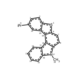 CC(C)c1ccc2sc3ccc4c(c5ccccc5n4C)c3c2c1